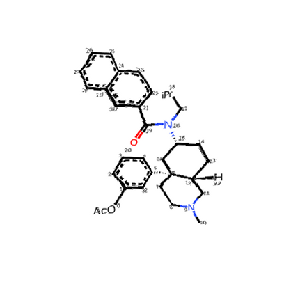 CC(=O)Oc1cccc([C@@]23CCN(C)C[C@H]2CC[C@@H](N(CC(C)C)C(=O)c2ccc4ccccc4c2)C3)c1